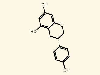 Oc1ccc([C@H]2COc3cc(O)cc(O)c3C2)cc1